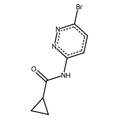 O=C(Nc1ccc(Br)nn1)C1CC1